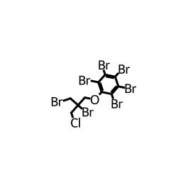 ClCC(Br)(CBr)COc1c(Br)c(Br)c(Br)c(Br)c1Br